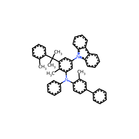 Cc1cc(-c2ccccc2)ccc1N(c1ccccc1)c1cc(-n2c3ccccc3c3ccccc32)cc(C(C)(C)c2ccccc2C)c1C